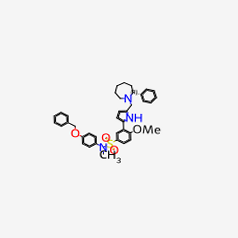 COc1ccc(S(=O)(=O)N(C)c2ccc(OCc3ccccc3)cc2)cc1-c1ccc(CN2CCCCC[C@@H]2c2ccccc2)[nH]1